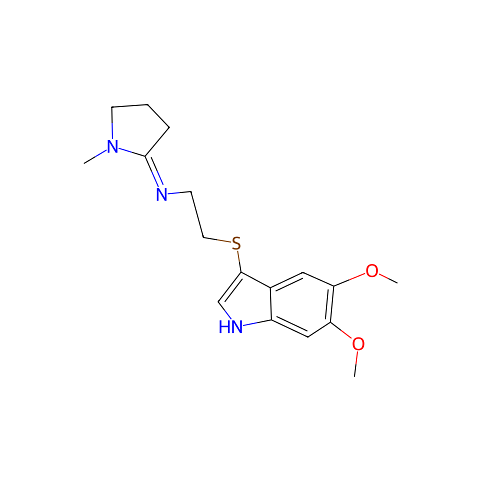 COc1cc2[nH]cc(SCC/N=C3\CCCN3C)c2cc1OC